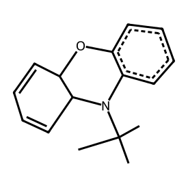 CC(C)(C)N1c2ccccc2OC2C=CC=CC21